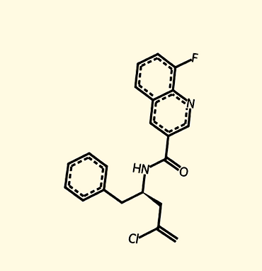 C=C(Cl)C[C@@H](Cc1ccccc1)NC(=O)c1cnc2c(F)cccc2c1